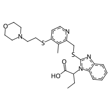 CCC(C(=O)O)n1c(SCc2nccc(SCCN3CCOCC3)c2C)nc2ccccc21